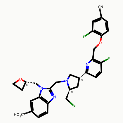 N#Cc1ccc(OCc2nc([C@@H]3C[C@@H](CF)N(Cc4nc5ccc(C(=O)O)cc5n4C[C@@H]4CCO4)C3)ccc2F)c(F)c1